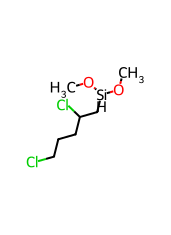 CO[SiH](CC(Cl)CCCCl)OC